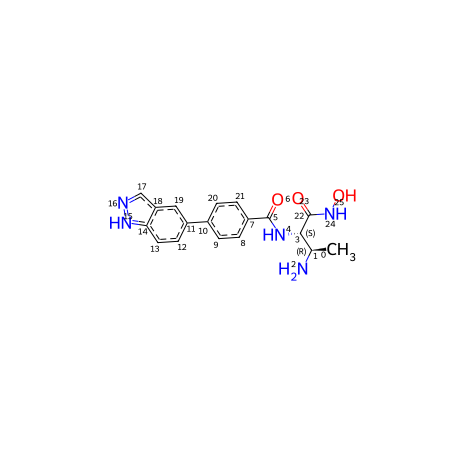 C[C@@H](N)[C@H](NC(=O)c1ccc(-c2ccc3[nH]ncc3c2)cc1)C(=O)NO